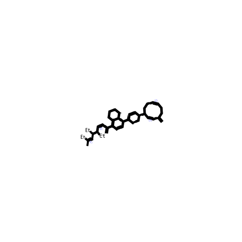 C=C1/C=C\C(C2C=CC(C3C=CC(C(=C)/C=C\C(CC)C(/C=C(/C)CC)CC)C4CCCCC34)CC2)CC/C=C\CC1